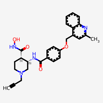 C#CCN1CC[C@H](C(=O)NO)[C@H](NC(=O)c2ccc(OCc3cc(C)nc4ccccc34)cc2)C1